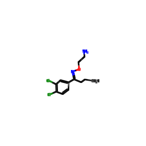 NCCON=C(CCC(=O)O)c1ccc(Cl)c(Cl)c1